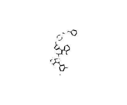 COc1cc(F)cc(-c2nn(C(C)c3oc(=O)c4ccccc4c3-c3ccc(CN4CCN(C(=O)OCc5ccccc5)CC4)s3)c3ncnc(N)c23)c1